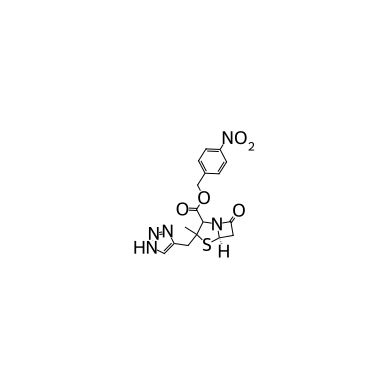 CC1(Cc2c[nH]nn2)S[C@@H]2CC(=O)N2C1C(=O)OCc1ccc([N+](=O)[O-])cc1